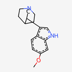 COc1ccc2c(C3CN4CCC3CC4)c[nH]c2c1